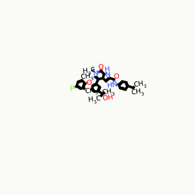 Cc1cc(F)cc(C)c1Oc1ccc(C(C)(C)O)cc1C1=CN(C)C(=O)C2NC(C(=O)Nc3ccc(C(C)C)cc3)=CC12